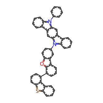 c1ccc(-n2c3ccccc3c3cc4c(cc32)c2ccccc2n4-c2ccc3oc4c(-c5cccc6sc7ccccc7c56)cccc4c3c2)cc1